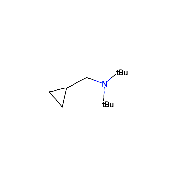 CC(C)(C)N(CC1CC1)C(C)(C)C